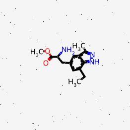 CCc1cc(CC(N)C(=O)OC)cc2c(C)n[nH]c12